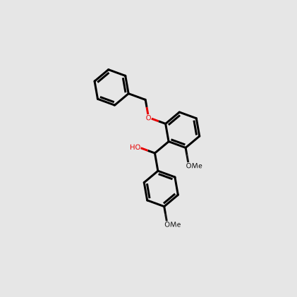 COc1ccc(C(O)c2c(OC)cccc2OCc2ccccc2)cc1